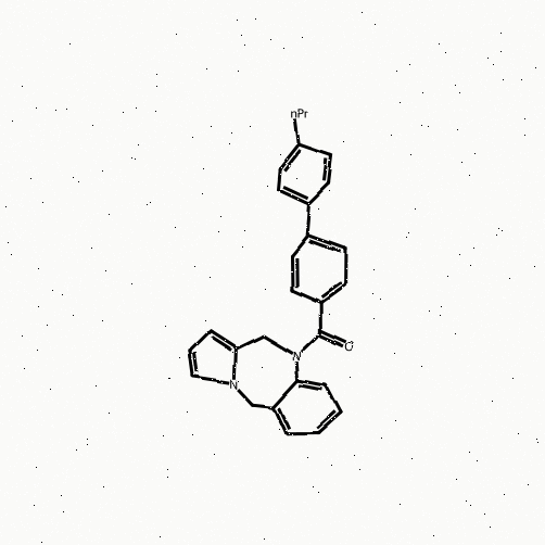 CCCc1ccc(-c2ccc(C(=O)N3Cc4cccn4Cc4ccccc43)cc2)cc1